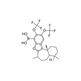 CC1CC[C@@H]2C(C)(C)CCC[C@@]2(C)c2c1oc1c(B(O)O)c(OC(F)(F)F)c(OC(F)(F)F)cc21